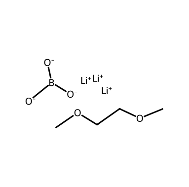 COCCOC.[Li+].[Li+].[Li+].[O-]B([O-])[O-]